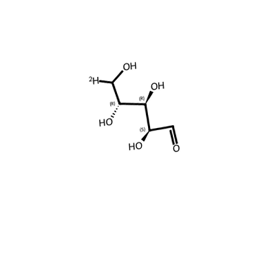 [2H]C(O)[C@@H](O)[C@@H](O)[C@H](O)C=O